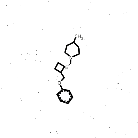 CC1CCN(C[C@H]2CCC2COc2ccccc2)CC1